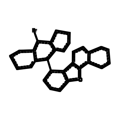 Brc1c2ccccc2c(-c2cccc3oc4c5ccccc5ccc4c23)c2ccccc12